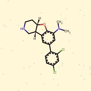 CN(C)c1cc(-c2ccc(Cl)cc2Cl)cc2c1O[C@H]1CCNC[C@@H]21